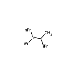 CCCN(C(C)C)C(C)C(C)C